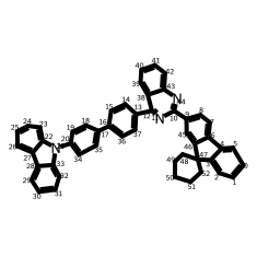 c1ccc2c(c1)-c1ccc(-c3nc(-c4ccc(-c5ccc(-n6c7ccccc7c7ccccc76)cc5)cc4)c4ccccc4n3)cc1C21CCCCC1